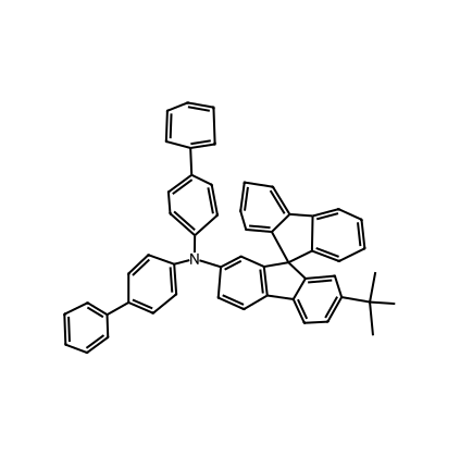 CC(C)(C)c1ccc2c(c1)C1(c3ccccc3-c3ccccc31)c1cc(N(c3ccc(-c4ccccc4)cc3)c3ccc(-c4ccccc4)cc3)ccc1-2